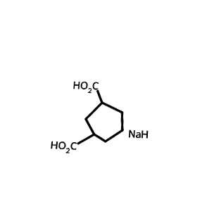 O=C(O)C1CCCC(C(=O)O)C1.[NaH]